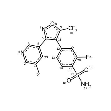 Cc1cncc(-c2noc(C(F)(F)F)c2-c2ccc(S(N)(=O)=O)c(F)c2)c1